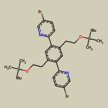 CC(C)(C)[Si](C)(C)OCCc1cc(-c2ccc(Br)cn2)c(CCO[Si](C)(C)C(C)(C)C)cc1-c1ccc(Br)cn1